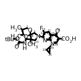 CC1COC2(CN(c3nc4c(cc3F)c(=O)c(C(=O)O)cn4C3CC3)CC2(C)CNC(=O)OC(C)(C)C)OC1C